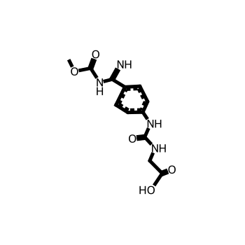 COC(=O)NC(=N)c1ccc(NC(=O)NCC(=O)O)cc1